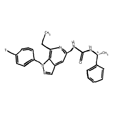 C[CH]c1nc(NC(=O)N[C@H](C)c2ccccc2)cc2cnn(-c3ccc(F)cc3)c12